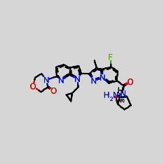 Cc1c(-c2cc3ccc(N4CCOCC4=O)nc3n2CC2CC2)nn2cc(C(=O)N3CC4CCC3[C@@H]4N)cc(F)c12